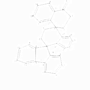 O=C1CCC2(CCC3(c4ccccc4-c4ccccc43)c3ccccc32)c2ccccc21